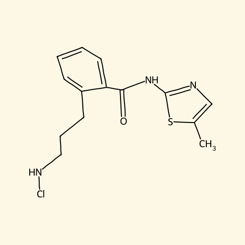 Cc1cnc(NC(=O)c2ccccc2CCCNCl)s1